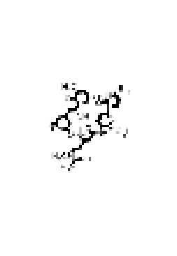 CN(CCC(N)CC(=O)N[C@H]1C=C[C@H](n2ccc(N)nc2=O)O[C@@H]1C(=O)O)C(=N)N.C[C@@H]1C[C@@H]([C@H](O)CC2CC(=O)NC(=O)C2)C(=O)[C@@H](C)C1